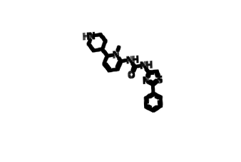 CN1C(NC(=O)Nc2csc(-c3ccccc3)n2)=CC=CC1C1CCNCC1